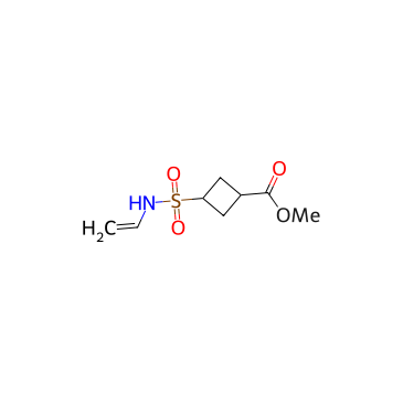 C=CNS(=O)(=O)C1CC(C(=O)OC)C1